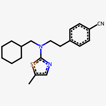 Cc1cnc(N(CCc2ccc(C#N)cc2)CC2CCCCC2)s1